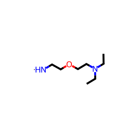 CCN(CC)CCOCC[NH]